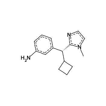 Cn1ccnc1[C@@H](c1cccc(N)c1)C1CCC1